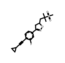 CC(C)(CC1CC(c2ccc(C#CC3CC3)c(F)c2)=NO1)S(C)(=O)=O